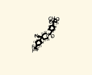 COC1(c2ccc(C(=O)N3CCC(C#N)(c4ccc(C(F)(F)F)cc4)CC3)cc2)COC1